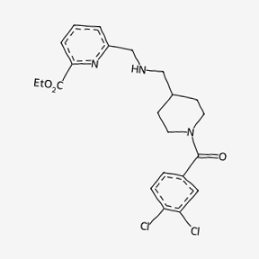 CCOC(=O)c1cccc(CNCC2CCN(C(=O)c3ccc(Cl)c(Cl)c3)CC2)n1